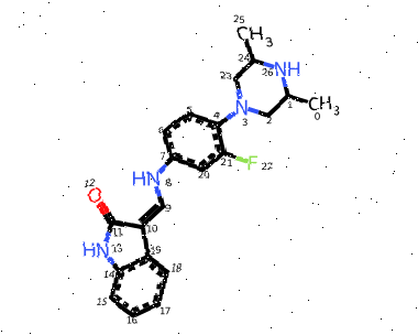 CC1CN(c2ccc(NC=C3C(=O)Nc4ccccc43)cc2F)CC(C)N1